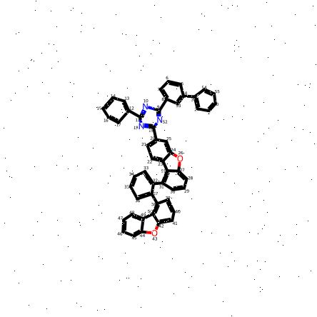 c1ccc(-c2cccc(-c3nc(-c4ccccc4)nc(-c4ccc5c(c4)oc4cccc(-c6ccccc6-c6cccc7oc8ccccc8c67)c45)n3)c2)cc1